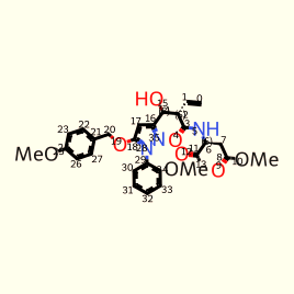 C=C[C@H](C(=O)N[C@@H](CC(=O)OC)C(=O)OC)[C@H](O)c1cc(OCc2ccc(OC)cc2)n(-c2ccccc2)n1